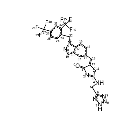 O=C1N=C(NCc2nn[nH]n2)SC1=Cc1ccc2c(cnn2Cc2ccc(C(F)(F)F)cc2C(F)(F)F)c1